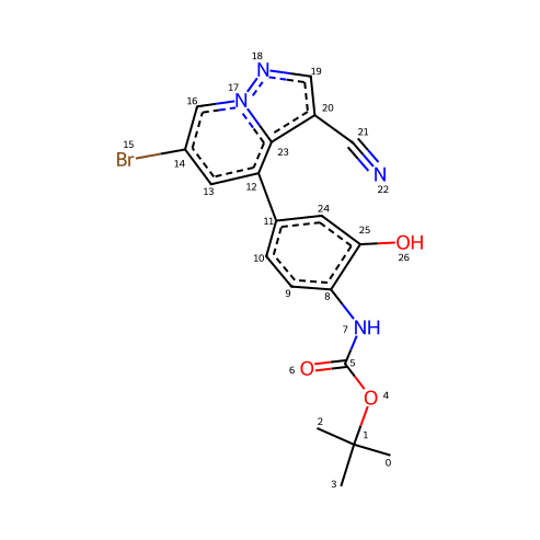 CC(C)(C)OC(=O)Nc1ccc(-c2cc(Br)cn3ncc(C#N)c23)cc1O